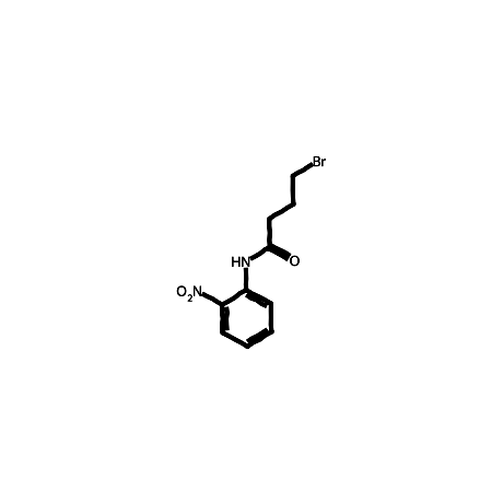 O=C(CCCBr)Nc1ccccc1[N+](=O)[O-]